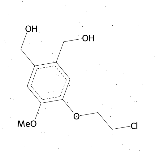 COc1cc(CO)c(CO)cc1OCCCl